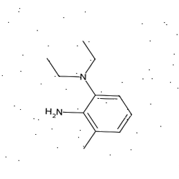 CCN(CC)c1cccc(C)c1N